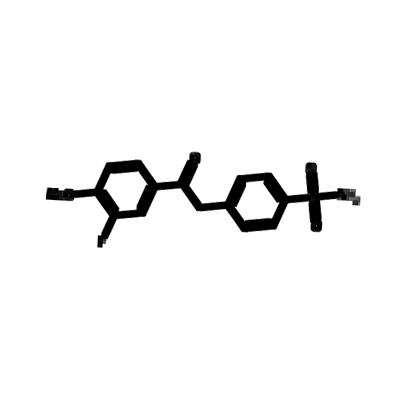 COc1ccc(C(=O)Cc2ccc(S(N)(=O)=O)cc2)cc1F